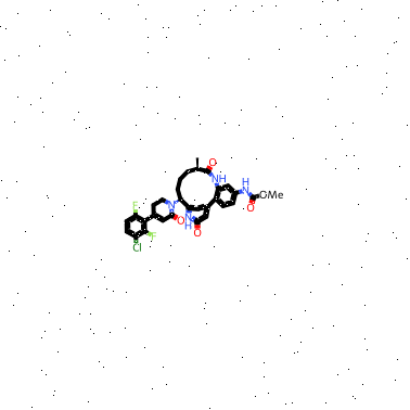 COC(=O)Nc1ccc2c(c1)NC(=O)[C@H](C)CCC[C@H](N1CCC(c3c(F)ccc(Cl)c3F)=CC1=O)c1cc-2cc(=O)[nH]1